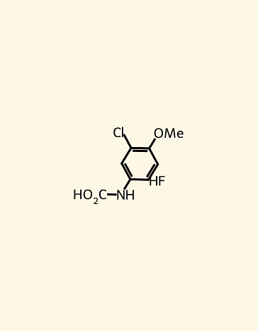 COc1ccc(NC(=O)O)cc1Cl.F